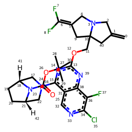 C=C1CN2CC(=C(F)F)CC2(COc2nc(N3C[C@H]4CC[C@@H](C3)N4C(=O)OC(C)(C)C)c3cnc(Cl)c(F)c3n2)C1